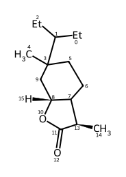 CCC(CC)C1(C)CCC2[C@@H](C1)OC(=O)[C@@H]2C